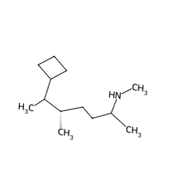 CNC(C)CC[C@H](C)C(C)C1CCC1